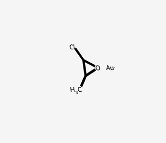 CC1OC1Cl.[Au]